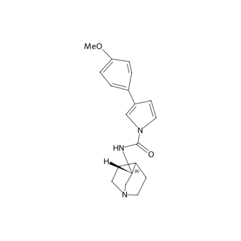 COc1ccc(-c2ccn(C(=O)N[C@H]3CN4CCC3CC4)c2)cc1